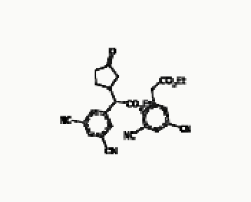 CCOC(=O)C(c1cc(C#N)cc(C#N)c1)C1CCC(=O)C1.CCOC(=O)Cc1cc(C#N)cc(C#N)c1